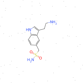 NCCc1c[nH]c2ccc(CS(N)(=O)=O)cc12